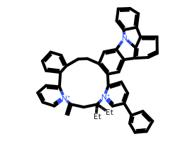 C=C1CC(CC)(CC)[n+]2cc(-c3ccccc3)ccc2-c2cc3c4cccc5c6ccccc6n(c3cc2CCc2ccccc2-c2cccc[n+]21)c54